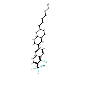 CCCCCCCC1CCC2CC(c3ccc4c(F)c(C(F)(F)F)ccc4c3)CCC2C1